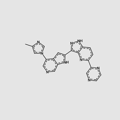 Cc1cn(-c2cncc3[nH]c(-c4n[nH]c5ccc(-c6cnccn6)nc45)cc23)cn1